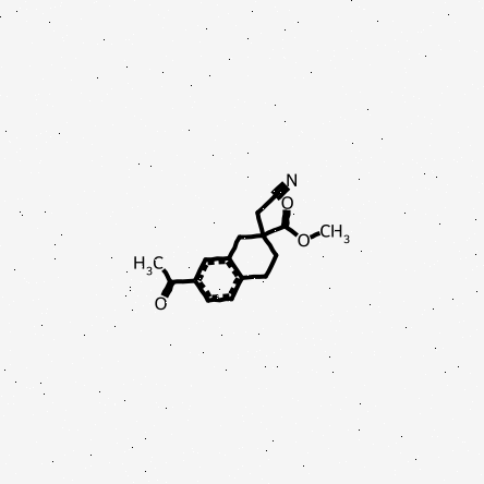 COC(=O)C1(CC#N)CCc2ccc(C(C)=O)cc2C1